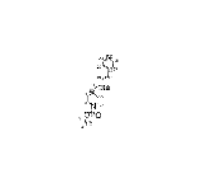 CC(C)(C)OC(=O)N1CCC(CC(=O)C=Cc2ccncc2)CC1